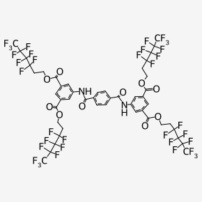 O=C(Nc1cc(C(=O)OCCC(F)(F)C(F)(F)C(F)(F)C(F)(F)F)cc(C(=O)OCCC(F)(F)C(F)(F)C(F)(F)C(F)(F)F)c1)c1ccc(C(=O)Nc2cc(C(=O)OCCC(F)(F)C(F)(F)C(F)(F)C(F)(F)F)cc(C(=O)OCCC(F)(F)C(F)(F)C(F)(F)C(F)(F)F)c2)cc1